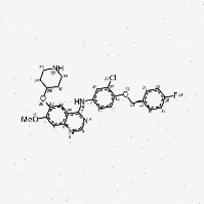 COc1cc2ncnc(Nc3ccc(OCc4ccc(F)cc4)c(Cl)c3)c2cc1OC1CCNCC1